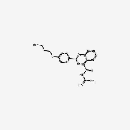 CC(C)CCCOc1ccc(-c2cc(C(=O)NC(=N)N)c3ccccc3n2)cc1